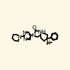 CN(C)[C@]1(c2ccccc2)CC[C@]2(CC1)CN(c1cnc(N3CCCCC3)nc1)C(=O)N2